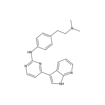 CN(C)CCc1ccc(Nc2nccc(-c3c[nH]c4ncccc34)n2)cc1